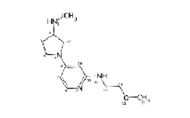 CNC1CCN(c2ccnc(NCCOC)c2)C1